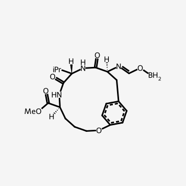 BOC=N[C@H]1Cc2ccc(cc2)OCCC[C@@H](C(=O)OC)NC(=O)[C@H](C(C)C)NC1=O